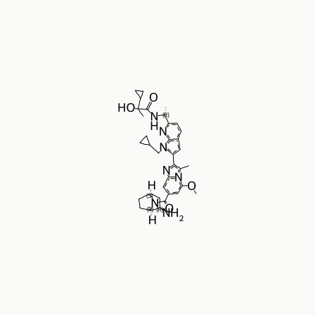 COc1cc(C(=O)N2[C@H]3CC[C@@H]2[C@H](N)C3)cc2nc(-c3cc4ccc([C@@H](C)NC(=O)C(C)(O)C5CC5)nc4n3CC3CC3)c(C)n12